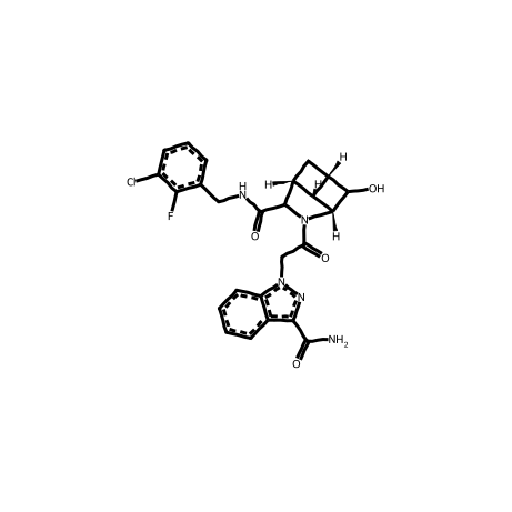 NC(=O)c1nn(CC(=O)N2C(C(=O)NCc3cccc(Cl)c3F)[C@@H]3C[C@@H]4C(O)[C@H]2[C@@H]43)c2ccccc12